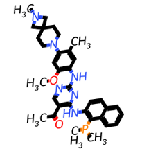 COc1cc(N2CCC3(CC2)CN(C)C3)c(C)cc1Nc1ncc(C(C)=O)c(Nc2ccc3ccccc3c2P(C)C)n1